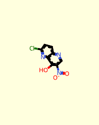 O=[N+]([O-])c1cnc2ccc(Cl)nc2c1O